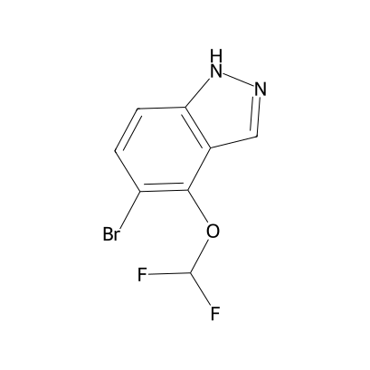 FC(F)Oc1c(Br)ccc2[nH]ncc12